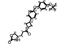 O=C1N[C@H](CCC(=O)N2CC(c3ccc(Oc4ccc(OC(F)(F)F)cc4)nc3)C2)CO1